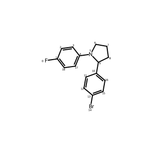 Fc1ccc(N2CCCC2c2ccc(Br)cc2)cc1